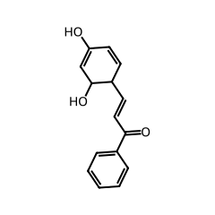 O=C(C=CC1C=CC(O)=CC1O)c1ccccc1